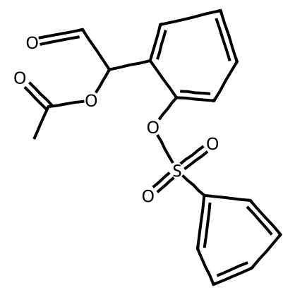 CC(=O)OC(C=O)c1ccccc1OS(=O)(=O)c1ccccc1